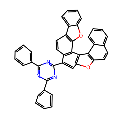 c1ccc(-c2nc(-c3ccccc3)nc(-c3cc4oc5ccc6ccccc6c5c4c4c3ccc3c5ccccc5oc34)n2)cc1